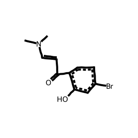 CN(C)/C=C/C(=O)c1ccc(Br)cc1O